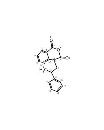 CC(Cn1c(=O)oc(=O)c2cccnc21)c1ccccc1